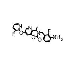 CC1c2ncc(Oc3ncccc3F)cc2OC(=O)N1Cc1cccc(N)c1F